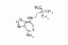 C[N+](C)(C)CCNc1ccc([N+](=O)[O-])c2nonc12